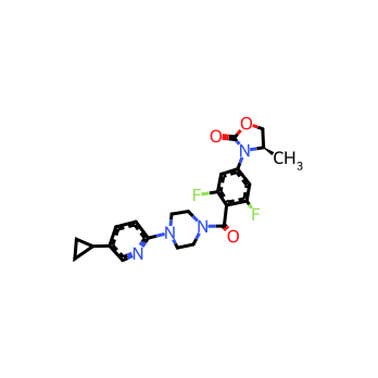 C[C@@H]1COC(=O)N1c1cc(F)c(C(=O)N2CCN(c3ccc(C4CC4)cn3)CC2)c(F)c1